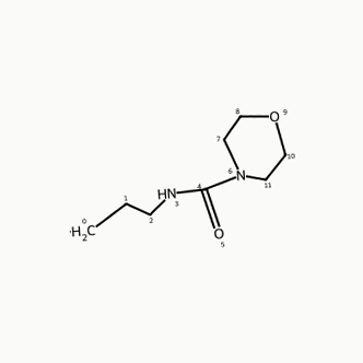 [CH2]CCNC(=O)N1CCOCC1